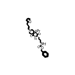 CCCN1C(=O)[C@H](CCCCNC(=O)OCc2ccccc2)NC(=O)C12CCN(C=CCc1ccco1)CC2